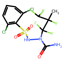 CC(F)(C(F)(F)F)C(F)(F)N(NS(=O)(=O)c1c(Cl)cccc1Cl)C(N)=O